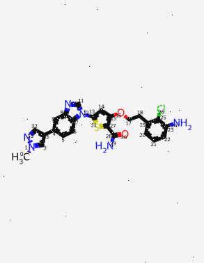 Cn1cc(-c2ccc3c(c2)ncn3-c2cc(OCCc3cccc(N)c3Cl)c(C(N)=O)s2)cn1